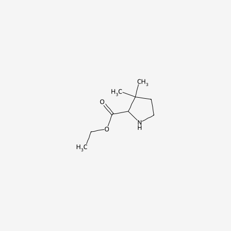 CCOC(=O)C1NCCC1(C)C